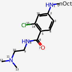 CCCCCCCCNc1ccc(C(=O)NCCN(C)C)c(Cl)c1